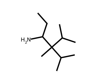 CCC(N)C(C)(C(C)C)C(C)C